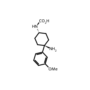 COc1cccc([C@]2(N)CC[C@H](NC(=O)O)CC2)c1